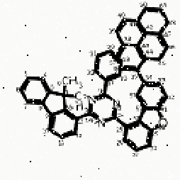 CC1(C)c2ccccc2-c2cccc(-c3nc(-c4ccccc4)nc(-c4cccc5oc6ccc(-c7ccc8ccc9c%10c8c7CC=C%10CC=C9)cc6c45)n3)c21